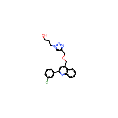 OCCCn1cc(COCc2cc(-c3cccc(Cl)c3)nc3ccccc23)nn1